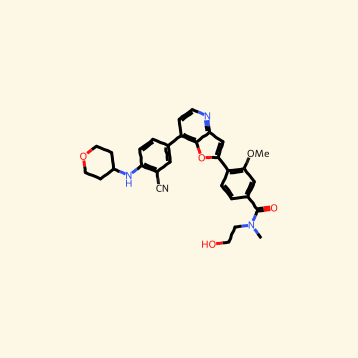 COc1cc(C(=O)N(C)CCO)ccc1-c1cc2nccc(-c3ccc(NC4CCOCC4)c(C#N)c3)c2o1